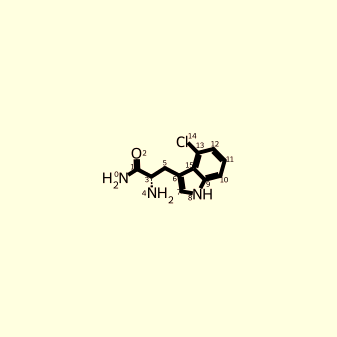 NC(=O)[C@@H](N)Cc1c[nH]c2cccc(Cl)c12